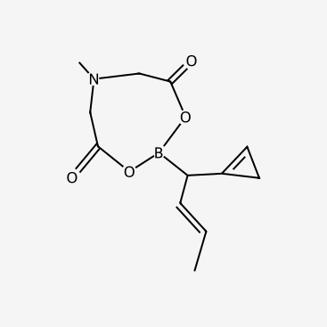 C/C=C/C(B1OC(=O)CN(C)CC(=O)O1)C1=CC1